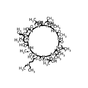 C/C=C/C[C@@H](C)[C@@H](O)[C@H]1C(=O)N[C@@H](CC)C(=O)N(C)[C@H](SCCCN(CC)CC)C(=O)N(C)[C@@H](CC(C)(C)O)C(=O)N[C@@H](C(C)C)C(=O)N(C)[C@@H](CC(C)C)C(=O)N[C@@H](C)C(=O)N[C@H](C)C(=O)N(C)[C@@H](CC(C)C)C(=O)N(C)[C@@H](CC(C)C)C(=O)N(C)[C@@H](C(C)C)C(=O)N1C